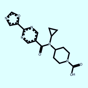 O=C(O)N1CCC(N(C(=O)c2cnc(-c3cnco3)nc2)C2CC2)CC1